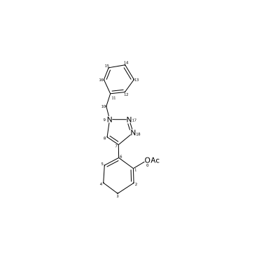 CC(=O)OC1=CCCC=C1c1cn(Cc2ccccc2)nn1